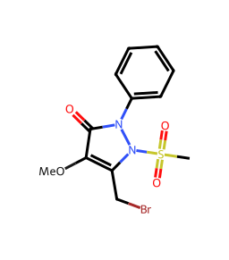 COc1c(CBr)n(S(C)(=O)=O)n(-c2ccccc2)c1=O